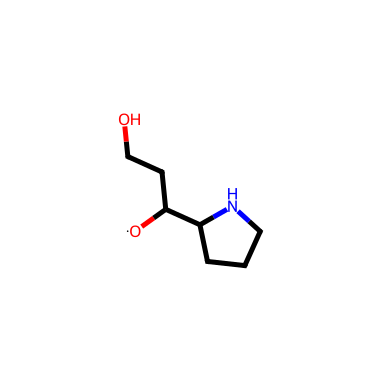 [O]C(CCO)C1CCCN1